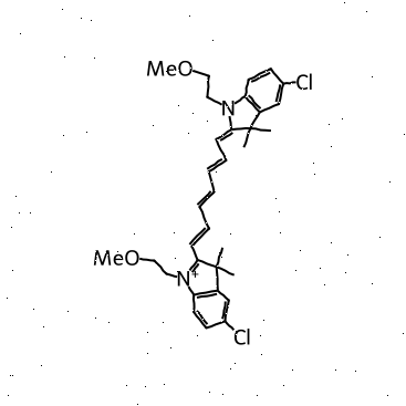 COCCN1/C(=C/C=C/C=C/C=C/C2=[N+](CCOC)c3ccc(Cl)cc3C2(C)C)C(C)(C)c2cc(Cl)ccc21